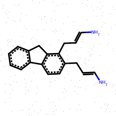 NC=CCc1ccc2c(c1CC=CN)Cc1ccccc1-2